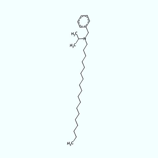 CCCCCCCCCCCCCCCCCCN(Cc1ccccc1)C(C)C